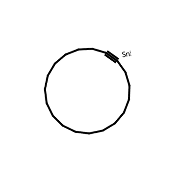 C1#CCCCCCCCCCCCCCCCCC1.[Sn]